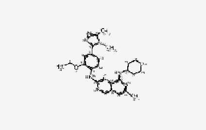 CCOc1cc(-c2nnc(C)n2C)ccc1Nc1ncc2cc(C)nc(NC3CCOCC3)c2n1